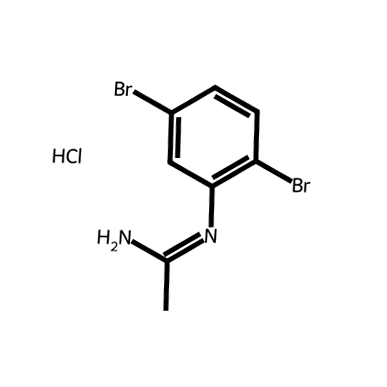 CC(N)=Nc1cc(Br)ccc1Br.Cl